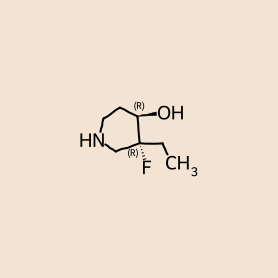 CC[C@@]1(F)CNCC[C@H]1O